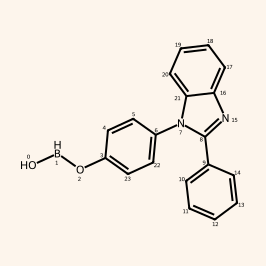 OBOc1ccc(-n2c(-c3ccccc3)nc3ccccc32)cc1